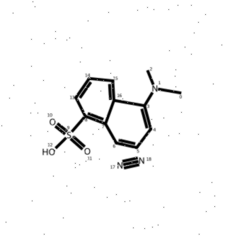 CN(C)c1cccc2c(S(=O)(=O)O)cccc12.N#N